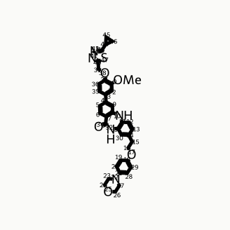 COc1cc(-c2ccc3c(c2)Nc2ccc(CCOc4ccc(N5CCOCC5)cc4)cc2NC3=O)ccc1OCc1nnc(C2CC2)s1